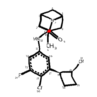 CC1CC2CC(C1)N2C(=O)Nc1cc(F)c(Cl)c([C@@H]2CC[C@@H]2C#N)c1